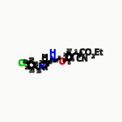 CCOC(=O)[C@H](C#N)Cc1ccc(OCCN[C@H]2C3CN(Cc4ccc(Cl)cc4)C[C@@H]32)cc1